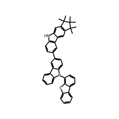 CC1(C)c2cc3[nH]c4ccc(-c5ccc6c(c5)c5ccccc5n6-c5cccc6c5sc5ccccc56)cc4c3cc2C(C)(C)C1(C)C